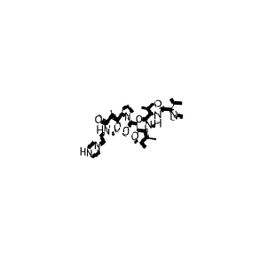 CC[C@H](C)[C@@H]([C@@H](CC(=O)N1CCC[C@H]1[C@H](OC)[C@@H](C)C(=O)NCCN1CCNCC1)OC)N(C)C(=O)[C@@H](NC(=O)[C@H](C(C)C)N(C)C)C(C)C